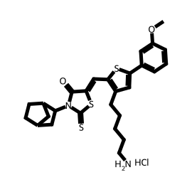 COc1cccc(-c2cc(CCCCCN)c(C=C3SC(=S)N(C4CC5CCC4C5)C3=O)s2)c1.Cl